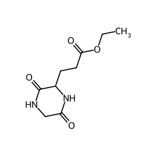 CCOC(=O)CCC1NC(=O)CNC1=O